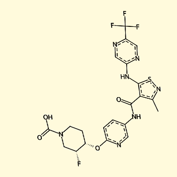 Cc1nsc(Nc2cnc(C(F)(F)F)cn2)c1C(=O)Nc1ccc(O[C@H]2CCN(C(=O)O)C[C@H]2F)nc1